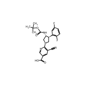 CC(C)(C)OC(=O)N[C@H]1CN(c2ncc(C(=O)O)cc2C#N)C[C@@H]1c1cc(F)ccc1F